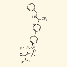 CC1(C)O[C@H](c2ccc(-c3ccc(C(NCc4ccccc4)C(F)(F)F)nc3)cc2)[C@@H](CF)N1C(=O)C(F)F